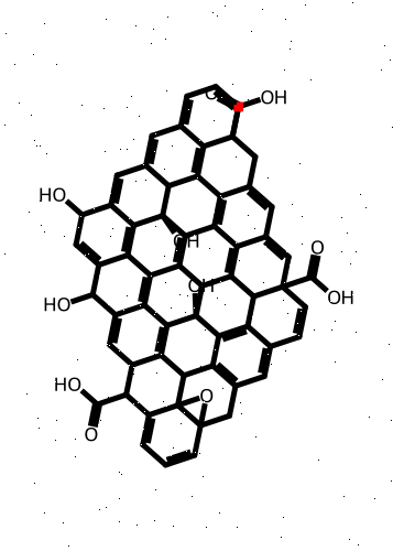 O=C(O)C1C2=CC=CC34Cc5cc6c7c8c5C(C5=C9C%10=C%11C%12=C%13C(=CC%14=CC%15=CC=CC%16(C(=O)O)Cc%17cc%18c%19c%20c%17C(=C%15%16)C%14C%13(O)C%20=C%11C(C=%19C7C(C(=O)O)(C=C6)C=%18)C98O)C(O)C=C%12C(O)C%10=CC51)C23O4